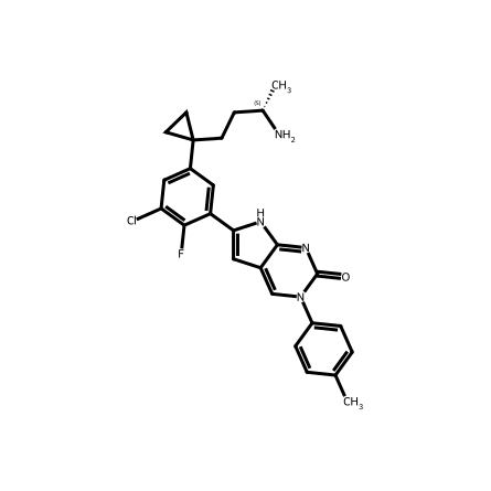 Cc1ccc(-n2cc3cc(-c4cc(C5(CC[C@H](C)N)CC5)cc(Cl)c4F)[nH]c3nc2=O)cc1